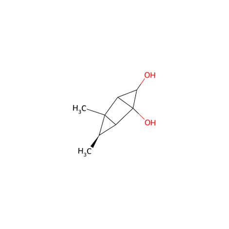 C[C@@H]1C2C3(O)C(O)C3C21C